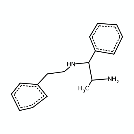 CC(N)C(NCCc1ccccc1)c1ccccc1